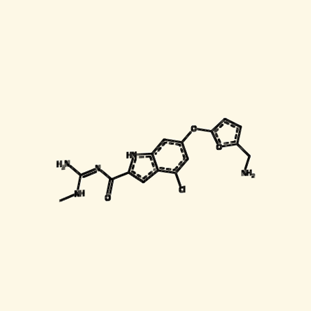 CNC(N)=NC(=O)c1cc2c(Cl)cc(Oc3ccc(CN)o3)cc2[nH]1